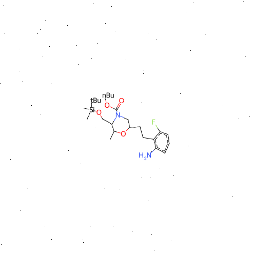 CCCCOC(=O)N1CC(CCc2c(N)cccc2F)OC(C)C1CO[Si](C)(C)C(C)(C)C